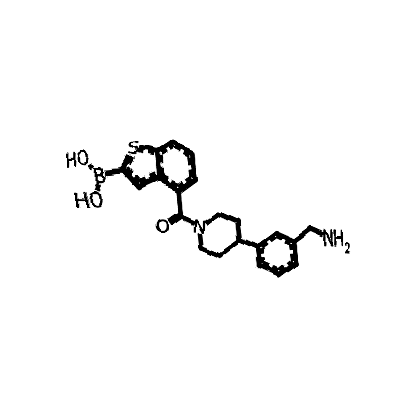 NCc1cccc(C2CCN(C(=O)c3cccc4sc(B(O)O)cc34)CC2)c1